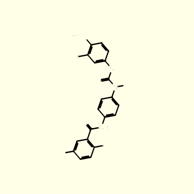 CSc1ccc(NC(=O)N(S)c2ccc(NC(=O)c3cc(F)ccc3F)cc2)cc1Cl